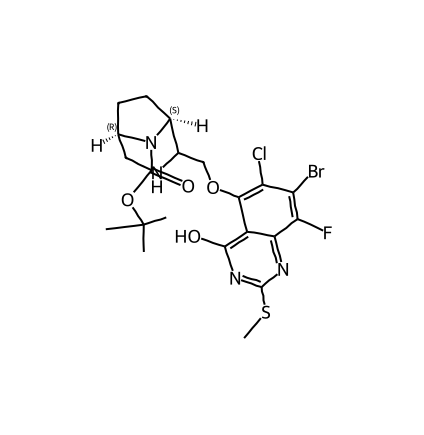 CSc1nc(O)c2c(OCC3NC[C@H]4CC[C@@H]3N4C(=O)OC(C)(C)C)c(Cl)c(Br)c(F)c2n1